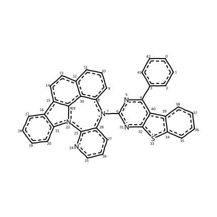 c1ccc(-c2nc(-n3c4cccc5ccc6c7ccccc7n(c7ncccc73)c6c54)nc3sc4ccccc4c23)cc1